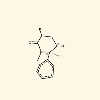 CN1C(=O)C(F)C[C@H](F)[C@@]1(C)c1ccccc1